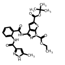 CCOC(=O)n1nc(NC(=O)c2ccccc2NC(=O)c2cc(C)[nH]n2)c2cc(C(=O)OC(C)(C)C)sc21